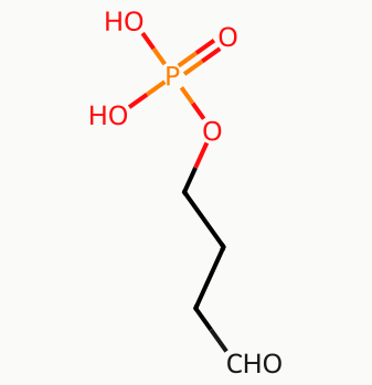 O=CCCCOP(=O)(O)O